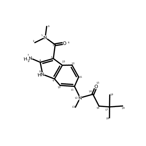 CN(C)C(=O)c1c(N)[nH]c2cc(N(C)C(=O)CC(C)(C)C)ccc12